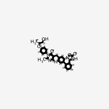 CCCc1nc(C)n(-c2ccc(OC(C)CO)cc2)c(=O)c1Cc1ccc(-c2ccccc2-c2noc(=O)[nH]2)cc1